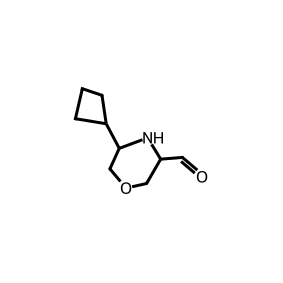 O=CC1COCC(C2CCC2)N1